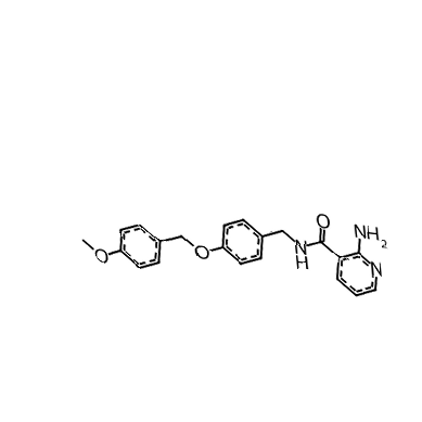 COc1ccc(COc2ccc(CNC(=O)c3cccnc3N)cc2)cc1